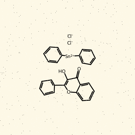 O=c1c(O)c(-c2ccccc2)oc2ccccc12.[Cl-].[Cl-].c1cc[c]([Sn+2][c]2ccccc2)cc1